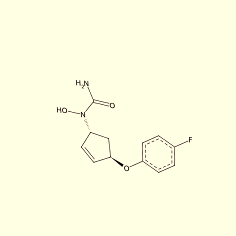 NC(=O)N(O)[C@H]1C=C[C@H](Oc2ccc(F)cc2)C1